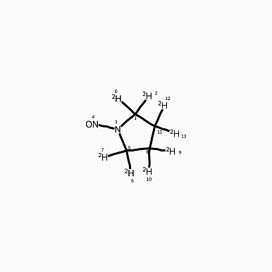 [2H]C1([2H])N(N=O)C([2H])([2H])C([2H])([2H])C1([2H])[2H]